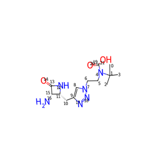 CC(C)(C)N(CCn1cc(C[C@H]2NC(=O)[C@H]2N)nn1)C(=O)O